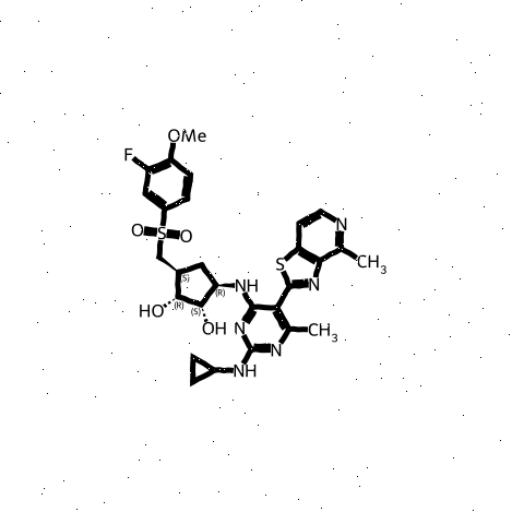 COc1ccc(S(=O)(=O)C[C@H]2C[C@@H](Nc3nc(NC4CC4)nc(C)c3-c3nc4c(C)nccc4s3)[C@H](O)[C@@H]2O)cc1F